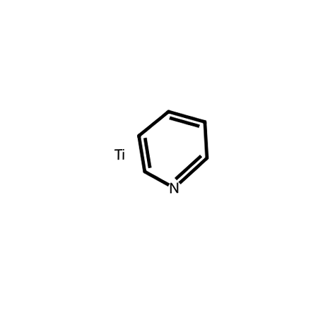 [Ti].c1ccncc1